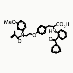 C=C(C)C(=O)N(CCOc1ccc(CC(Nc2ccccc2C(=O)c2ccccc2)C(=O)O)cc1)c1cccc(OC)c1